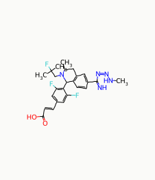 CN/N=N\C(=N)c1ccc2c(c1)CC(C)N(CC(C)(C)F)C2c1c(F)cc(/C=C/C(=O)O)cc1F